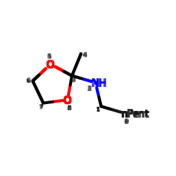 CCCCCCNC1(C)OCCO1